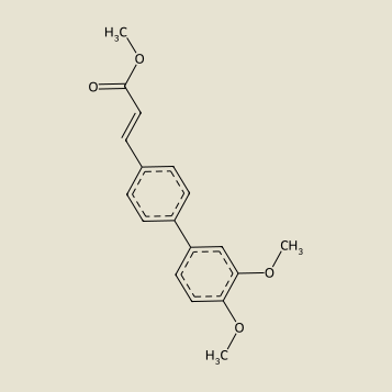 COC(=O)C=Cc1ccc(-c2ccc(OC)c(OC)c2)cc1